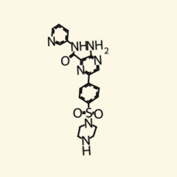 Nc1ncc(-c2ccc(S(=O)(=O)N3CCNCC3)cc2)nc1C(=O)Nc1cccnc1